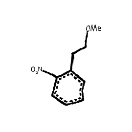 [CH2]OCCc1ccccc1[N+](=O)[O-]